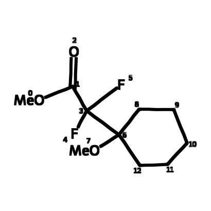 COC(=O)C(F)(F)C1(OC)CCCCC1